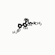 COCCCn1nnnc1-c1cc(-c2cccc(OC)c2)c(O)cc1O